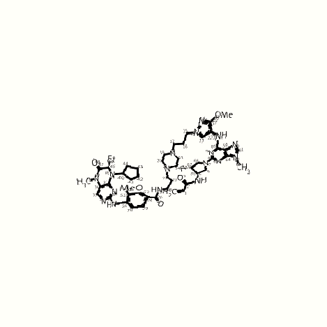 C=CC(=O)N[C@@H]1CN(c2nc(Nc3cn(CCCN4CCN(CCCNC(=O)c5ccc(Nc6ncc7c(n6)N(C6CCCC6)[C@H](CC)C(=O)N7C)c(OC)c5)CC4)nc3OC)c3ncn(C)c3n2)C[C@H]1F